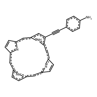 Nc1ccc(C#Cc2cc3cc4nc(cc5ccc(cc6nc(cc2[nH]3)C=C6)[nH]5)C=C4)cc1